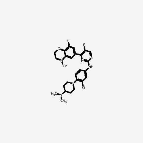 CC(C)N1CCOc2c(F)cc(-c3nc(Nc4ccc(N5CCC(N(C)C)CC5)c(Cl)c4)ncc3F)cc21